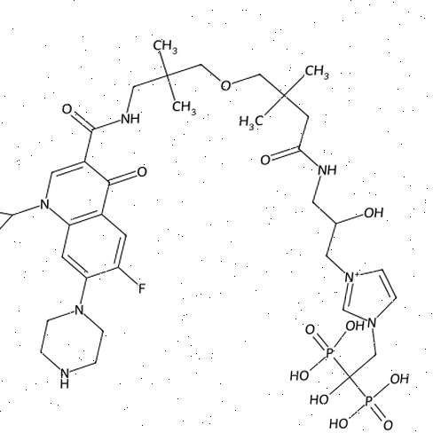 CC(C)(CNC(=O)c1cn(C2CC2)c2cc(N3CCNCC3)c(F)cc2c1=O)COCC(C)(C)CC(=O)NCC(O)C[n+]1ccn(CC(O)(P(=O)(O)O)P(=O)(O)O)c1